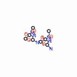 COc1ccccc1-c1cc2c(cc1OC)N(CCc1ccccc1)C(=O)CN=C2c1cccc(C#N)c1.COc1ccccc1-c1cc2c(cc1OC)N(Cc1ccccc1)C(=O)CN=C2c1cccc(C#N)c1